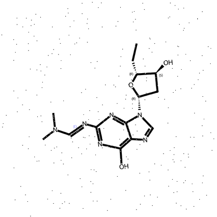 CC[C@H]1O[C@@H](n2cnc3c(O)nc(/N=C/N(C)C)nc32)C[C@@H]1O